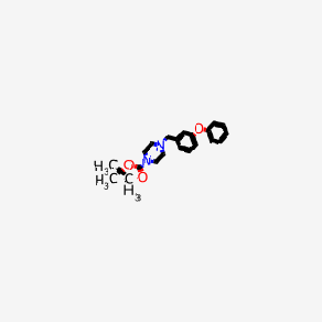 CC(C)(C)OC(=O)N1CCN(Cc2cccc(Oc3ccccc3)c2)CC1